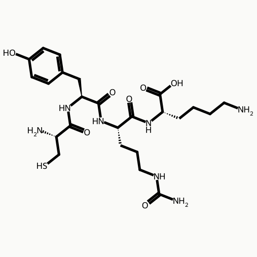 NCCCC[C@H](NC(=O)[C@H](CCCNC(N)=O)NC(=O)[C@H](Cc1ccc(O)cc1)NC(=O)[C@@H](N)CS)C(=O)O